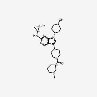 CC[C@H]1C[C@@H]1Nc1ncc2c(C3CCN(C(=O)[C@H]4CCCN(C)C4)CC3)cn([C@H]3CC[C@H](O)CC3)c2n1